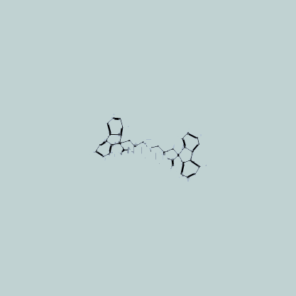 NC(=O)C1(CCCNCCCC2(C(N)=O)c3ccccc3-c3ccccc32)c2ccccc2-c2ccccc21